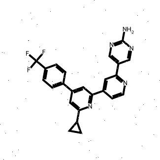 Nc1ncc(-c2cc(-c3cc(-c4ccc(C(F)(F)F)cc4)cc(C4CC4)n3)ccn2)cn1